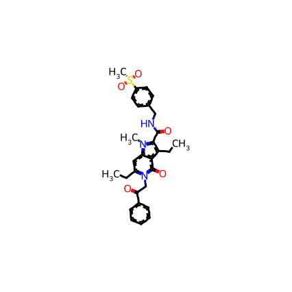 CCc1c(C(=O)NCc2ccc(S(C)(=O)=O)cc2)n(C)c2cc(CC)n(CC(=O)c3ccccc3)c(=O)c12